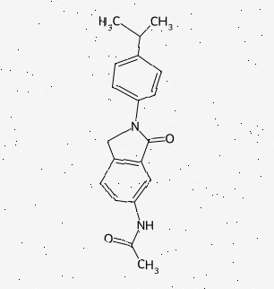 CC(=O)Nc1ccc2c(c1)C(=O)N(c1ccc(C(C)C)cc1)C2